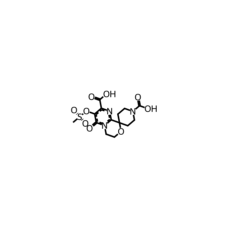 CS(=O)(=O)Oc1c(C(=O)O)nc2n(c1=O)CCOC21CCN(C(=O)O)CC1